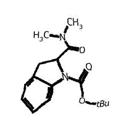 CN(C)C(=O)C1Cc2ccccc2N1C(=O)OC(C)(C)C